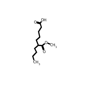 CCCCC(CCCCC(=O)O)C(=O)OC